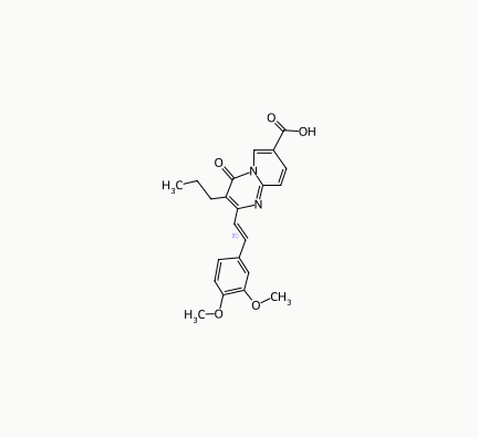 CCCc1c(/C=C/c2ccc(OC)c(OC)c2)nc2ccc(C(=O)O)cn2c1=O